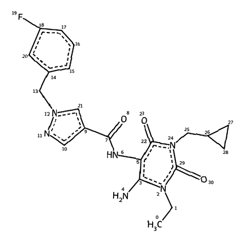 CCn1c(N)c(NC(=O)c2cnn(Cc3cccc(F)c3)c2)c(=O)n(CC2CC2)c1=O